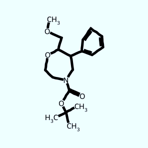 COCC1OCCN(C(=O)OC(C)(C)C)CC1c1ccccc1